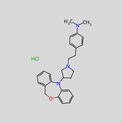 CN(C)c1ccc(CCN2CCC(N3c4ccccc4COc4ccccc43)C2)cc1.Cl